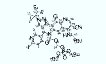 Cc1nc(F)ccc1C(c1cn(C2(C(F)F)CC2)nn1)N(C(=O)OCOP(=O)(OC(C)(C)C)OC(C)(C)C)c1cc(Cl)c2ncc(C#N)c(NCC(C)(C)C)c2c1